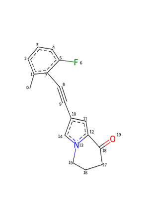 Cc1cccc(F)c1C#Cc1cc2n(c1)CCCC2=O